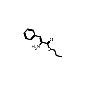 CCCOC(=O)C(N)=Cc1ccccc1